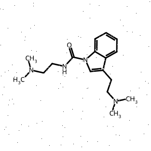 CN(C)CCNC(=O)n1cc(CCN(C)C)c2ccccc21